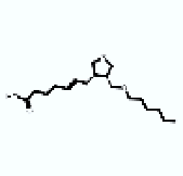 CCCCCCOC[C@@H]1CSC[C@@H]1CC=CCCCC(=O)O